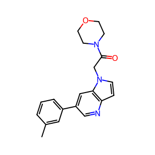 Cc1cccc(-c2cnc3ccn(CC(=O)N4CCOCC4)c3c2)c1